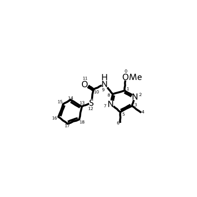 COc1nc(C)c(C)nc1NC(=O)Sc1ccccc1